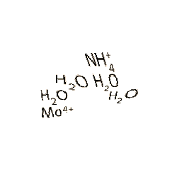 O.O.O.O.[Mo+4].[NH4+]